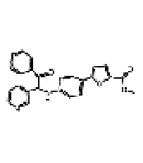 COC(=O)c1ccc(-c2ccc(NC(C(=O)c3ccccc3)c3cccnc3)cc2)o1